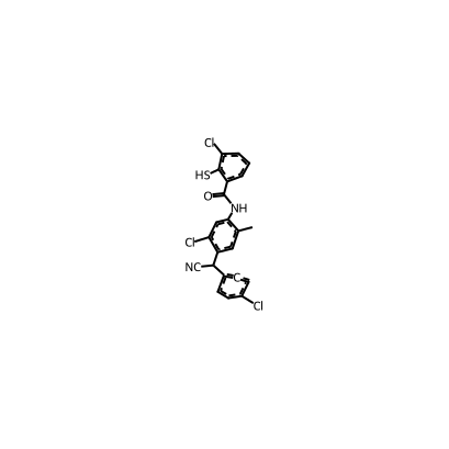 Cc1cc(C(C#N)c2ccc(Cl)cc2)c(Cl)cc1NC(=O)c1cccc(Cl)c1S